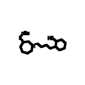 CCCCSC1CCCC[C@@H](CCCCC2CCCCC2S)C1